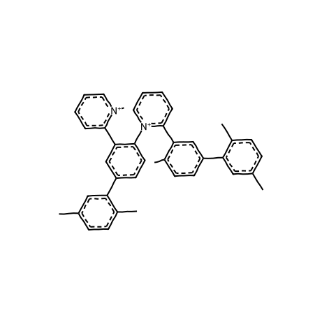 Cc1ccc(C)c(-c2ccc(C)c(-c3cccc[n+]3-c3ccc(-c4cc(C)ccc4C)cc3-c3cccc[n+]3C)c2)c1